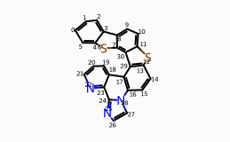 c1ccc2c(c1)sc1c2ccc2sc3ccc4c(c5cccnc5c5nccn45)c3c21